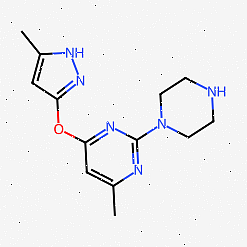 Cc1cc(Oc2cc(C)[nH]n2)nc(N2CCNCC2)n1